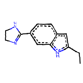 CCc1cc2ccc(C3=NCCN3)cc2[nH]1